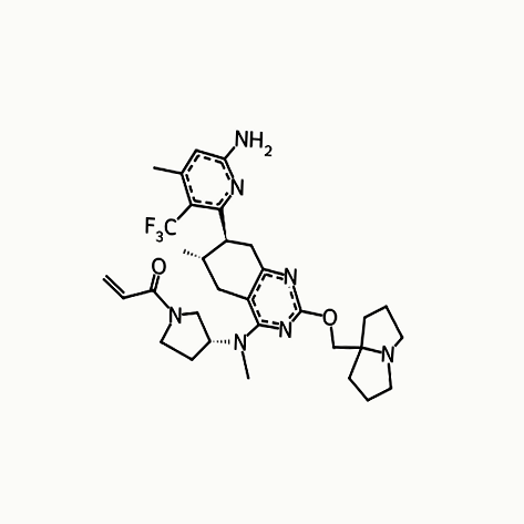 C=CC(=O)N1CC[C@@H](N(C)c2nc(OCC34CCCN3CCC4)nc3c2C[C@H](C)[C@@H](c2nc(N)cc(C)c2C(F)(F)F)C3)C1